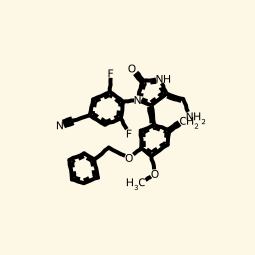 C=c1cc(OC)c(OCc2ccccc2)c/c1=c1/c(=C\N)[nH]c(=O)n1-c1c(F)cc(C#N)cc1F